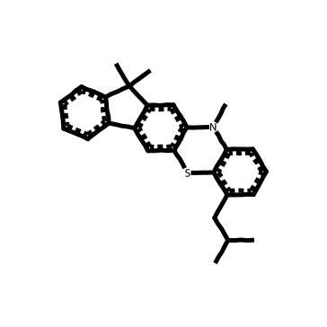 CC(C)Cc1cccc2c1Sc1cc3c(cc1N2C)C(C)(C)c1ccccc1-3